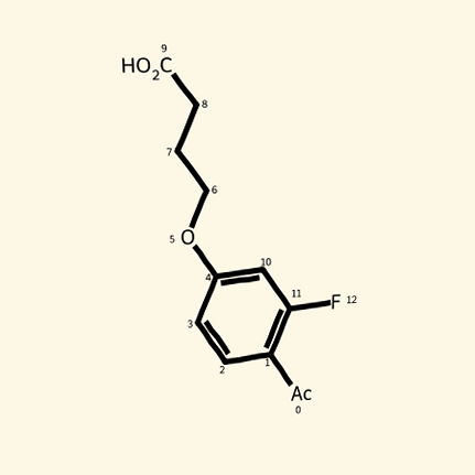 CC(=O)c1ccc(OCCCC(=O)O)cc1F